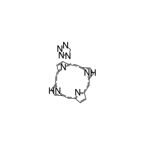 C1=Cc2cc3ccc(cc4nc(cc5ccc(cc1n2)[nH]5)C=C4)[nH]3.C1N=NN=N1